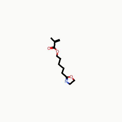 C=C(C)C(=O)OCCCCCC1=NCCO1